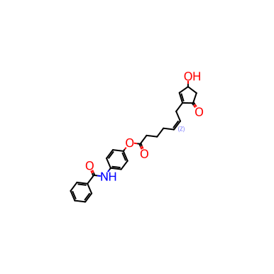 O=C(CCC/C=C\CC1=CC(O)CC1=O)Oc1ccc(NC(=O)c2ccccc2)cc1